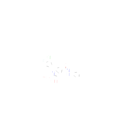 O=C(NCc1ccc(F)cc1)c1ccc2c(c1)cc(C(O)O)n2Cc1ccc(Cl)c(F)c1